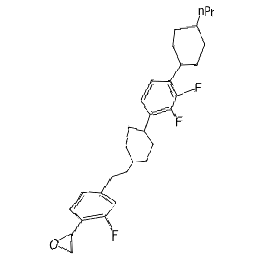 CCCC1CCC(c2ccc(C3CCC(CCc4ccc(C5CO5)c(F)c4)CC3)c(F)c2F)CC1